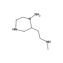 CNCCC1CNCCN1N